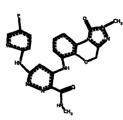 CNC(=O)c1nnc(Nc2ccc(F)cn2)cc1Nc1cccc2c1OCc1nn(C)c(=O)n1-2